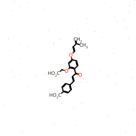 C=C(C)C=COc1ccc(C(=O)C=Cc2ccc(C(=O)O)cc2)c(OCC(=O)O)c1